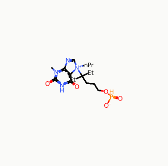 CCC[N+]1(C(CC)(CC)CCCO[PH](=O)[O-])C=Nc2c1c(=O)[nH]c(=O)n2C